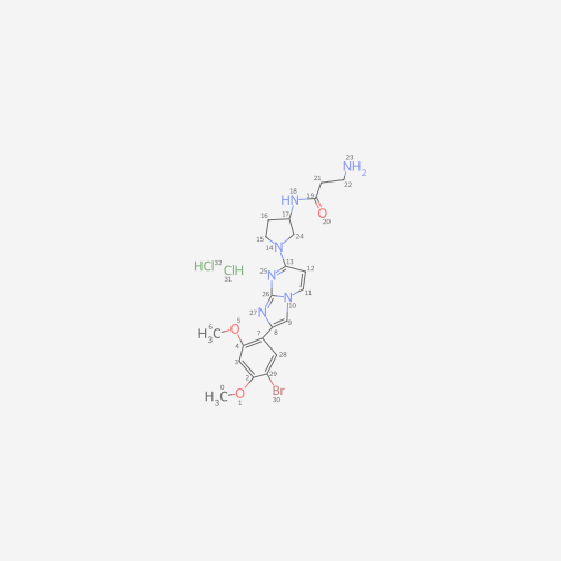 COc1cc(OC)c(-c2cn3ccc(N4CCC(NC(=O)CCN)C4)nc3n2)cc1Br.Cl.Cl